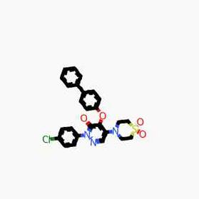 O=c1c(Oc2ccc(-c3ccccc3)cc2)c(N2CCS(=O)(=O)CC2)cnn1-c1ccc(Cl)cc1